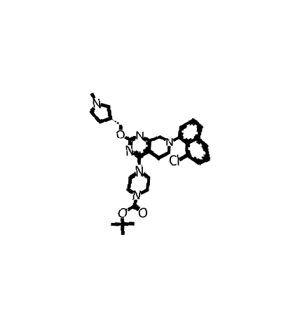 CN1CC[C@@H](COc2nc3c(c(N4CCN(C(=O)OC(C)(C)C)CC4)n2)CCN(c2cccc4cccc(Cl)c24)C3)C1